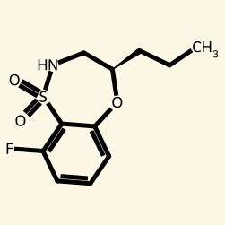 CCC[C@@H]1CNS(=O)(=O)c2c(F)cccc2O1